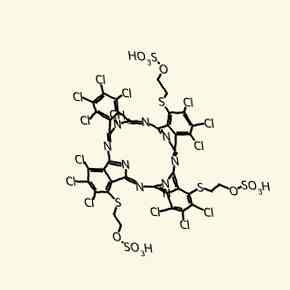 Cn1c2nc3nc(nc4[nH]c(nc5nc(nc1c1c(Cl)c(Cl)c(Cl)c(Cl)c12)-c1c(SCCOS(=O)(=O)O)c(Cl)c(Cl)c(Cl)c1-5)c1c(SCCOS(=O)(=O)O)c(Cl)c(Cl)c(Cl)c41)-c1c(SCCOS(=O)(=O)O)c(Cl)c(Cl)c(Cl)c1-3